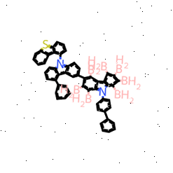 Bc1c(B)c(B)c2c(c1B)c1c(B)c(-c3ccc4c(c3)c3c(-c5ccccc5)cccc3n4-c3cccc4sc5ccccc5c34)c(B)c(B)c1n2-c1ccc(-c2ccccc2)cc1